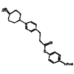 CCCCCc1ccc(OC(=O)CCc2ccc(C3CCC(CCC)CC3)cc2)cc1